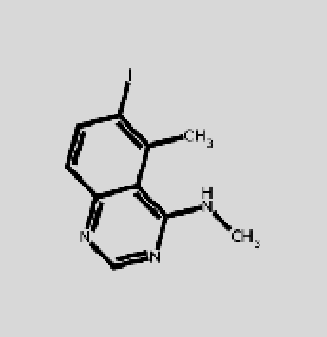 CNc1ncnc2ccc(I)c(C)c12